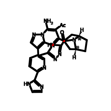 CC(=O)c1c(C2C[C@H]3CC[C@@H](C2)N3C(=O)c2nnc(C)[nH]2)nc2c(-c3ccc(-c4ncc[nH]4)nc3)cnn2c1N